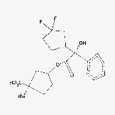 CC(C)(C)[C@@]1(C(=O)O)CC[C@@H](OC(=O)[C@](O)(c2ccccc2)[C@@H]2CCC(F)(F)C2)C1